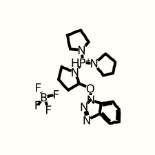 F[B-](F)(F)F.c1ccc2c(c1)nnn2OC1CCCN1[PH+](N1CCCC1)N1CCCC1